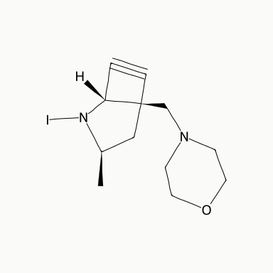 C[C@@H]1C[C@@]2(CN3CCOCC3)C#C[C@H]2N1I